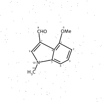 COc1cccc2c1c(C=O)cn2C